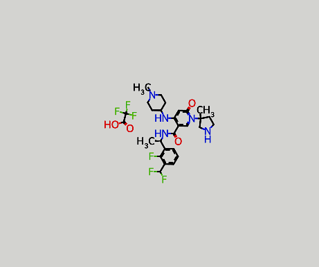 C[C@@H](NC(=O)c1cn(C2(C)CCNC2)c(=O)cc1NC1CCN(C)CC1)c1cccc(C(F)F)c1F.O=C(O)C(F)(F)F